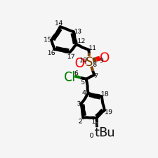 CC(C)(C)c1ccc(C(Cl)CS(=O)(=O)Cc2ccccc2)cc1